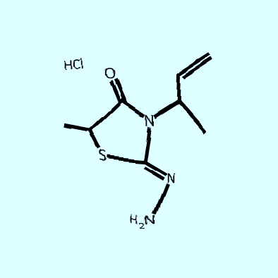 C=CC(C)N1C(=O)C(C)S/C1=N\N.Cl